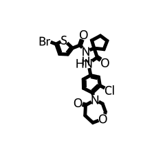 O=C(NC1(C(=O)Nc2ccc(N3CCOCCC3=O)c(Cl)c2)CCCC1)c1ccc(Br)s1